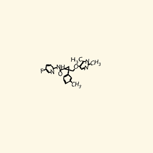 Cc1cccc(C2(COc3cnc(C)nc3C)CC2C(=O)Nc2ccc(F)cn2)c1